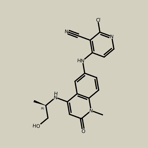 C[C@H](CO)Nc1cc(=O)n(C)c2ccc(Nc3ccnc(Cl)c3C#N)cc12